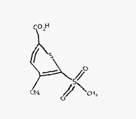 CS(=O)(=O)c1sc(C(=O)O)cc1C#N